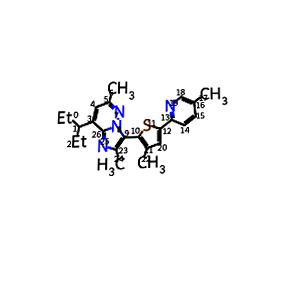 CCC(CC)c1cc(C)nn2c(-c3sc(-c4ccc(C)cn4)cc3C)c(C)nc12